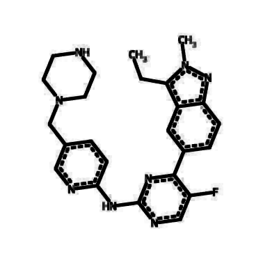 CCc1c2cc(-c3nc(Nc4ccc(CN5CCNCC5)cn4)ncc3F)ccc2nn1C